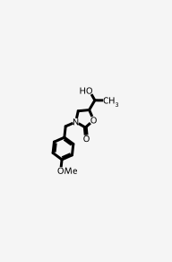 COc1ccc(CN2CC(C(C)O)OC2=O)cc1